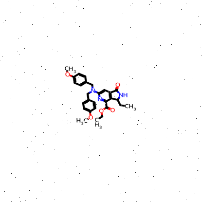 CCOC(=O)c1nc(N(Cc2ccc(OC)cc2)Cc2ccc(OC)cc2)cc2c1C(CC)NC2=O